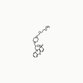 CCCOCCOCCN1CCN(CC(O)CN2c3ccccc3Sc3ccc(I)cc32)CC1